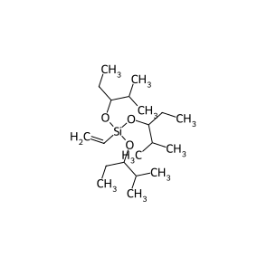 C=C[Si](OC(CC)C(C)C)(OC(CC)C(C)C)OC(CC)C(C)C